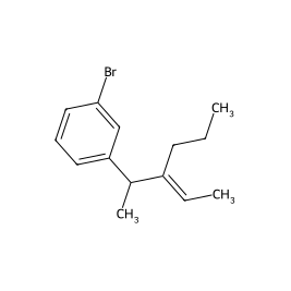 C/C=C(\CCC)C(C)c1cccc(Br)c1